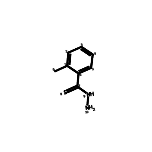 Cc1ccccc1C(=S)NN